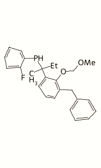 CCC(C)(Pc1ccccc1F)c1cccc(Cc2ccccc2)c1OCOC